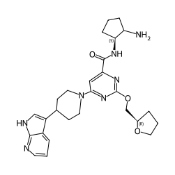 NC1CCC[C@@H]1NC(=O)c1cc(N2CCC(c3c[nH]c4ncccc34)CC2)nc(OC[C@H]2CCCO2)n1